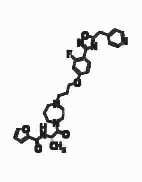 C[C@H](NC(=O)c1ccco1)C(=O)N1CCCN(CCCOc2ccc(-c3noc(Cc4ccncc4)n3)c(F)c2)CC1